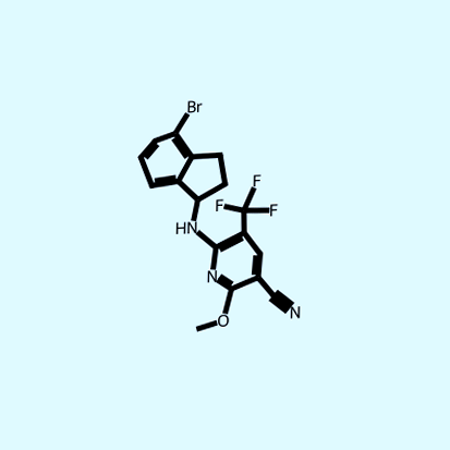 COc1nc(NC2CCc3c(Br)cccc32)c(C(F)(F)F)cc1C#N